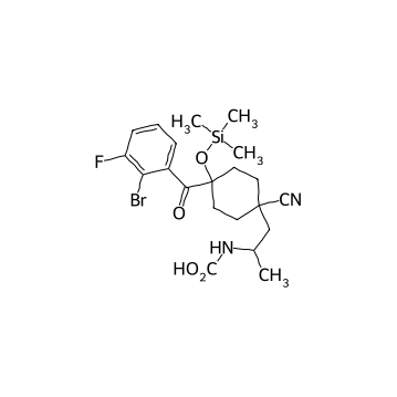 CC(CC1(C#N)CCC(O[Si](C)(C)C)(C(=O)c2cccc(F)c2Br)CC1)NC(=O)O